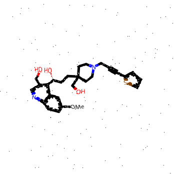 COc1ccc2ncc(CO)c([C@H](O)CCC3(CO)CCN(CC#Cc4cccs4)CC3)c2c1